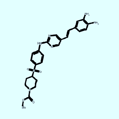 CC(C)(C)OC(=O)N1CCC(S(=O)(=O)c2ccc(Nc3ncc(/C=C/c4ccc(N)c(N)c4)cn3)cc2)CC1